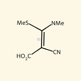 CN/C(SC)=C(\C#N)C(=O)O